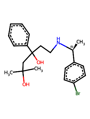 C[C@H](NCCC(O)(CC(C)(C)O)c1ccccc1)c1ccc(Br)cc1